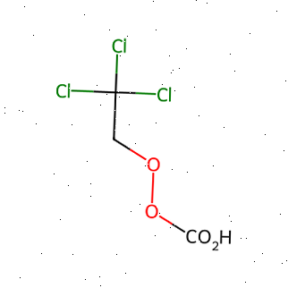 O=C(O)OOCC(Cl)(Cl)Cl